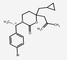 C=C(C)CC1(CC2CC2)CCN([C@@H](C)c2ccc(Br)cc2)C(=O)O1